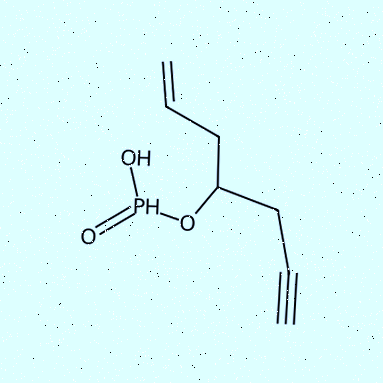 C#CCC(CC=C)O[PH](=O)O